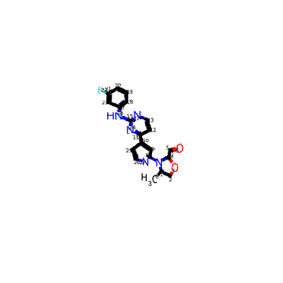 CC1COC(C=O)N1c1cc(-c2ccnc(Nc3cccc(F)c3)n2)ccn1